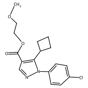 COCCOC(=O)c1cnn(-c2ccc(Cl)cc2)c1C1CCC1